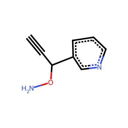 C#CC(ON)c1cccnc1